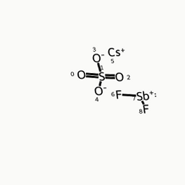 O=S(=O)([O-])[O-].[Cs+].[F][Sb+][F]